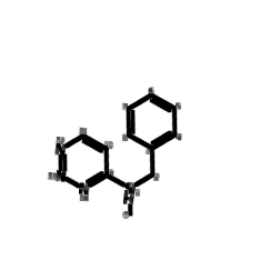 C[SiH](Cc1ccccc1)c1ccnnn1